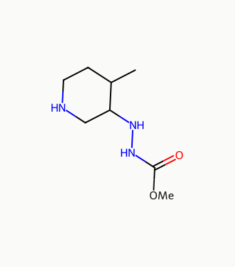 COC(=O)NNC1CNCCC1C